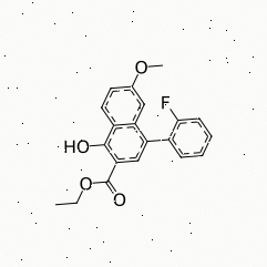 CCOC(=O)c1cc(-c2ccccc2F)c2cc(OC)ccc2c1O